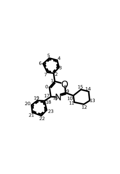 C1=C(c2ccccc2)OC(C2CCCCC2)=NC1c1ccccc1